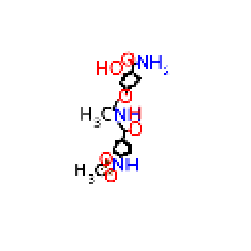 CC(COc1ccc(C(N)=O)c(O)c1)NCC(O)c1ccc(NS(C)(=O)=O)cc1